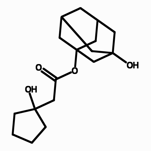 O=C(CC1(O)CCCC1)OC12CC3CC(CC(O)(C3)C1)C2